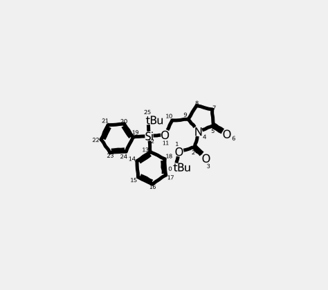 CC(C)(C)OC(=O)N1C(=O)CCC1CO[Si](c1ccccc1)(c1ccccc1)C(C)(C)C